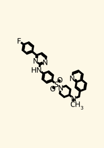 CN(Cc1ccc2cccnc2c1)C1CCN(S(=O)(=O)c2ccc(Nc3nccc(-c4ccc(F)cc4)n3)cc2)CC1